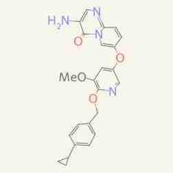 COc1cc(Oc2ccc3ncc(N)c(=O)n3c2)cnc1OCc1ccc(C2CC2)cc1